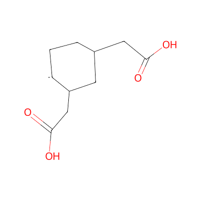 O=C(O)CC1[CH]CCC(CC(=O)O)C1